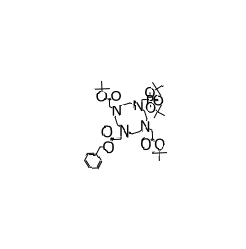 CC(C)(C)OC(=O)CN1CCN(CC(=O)OCc2ccccc2)CCN(CC(=O)OC(C)(C)C)CCN(CP(=O)(OC(C)(C)C)OC(C)(C)C)CC1